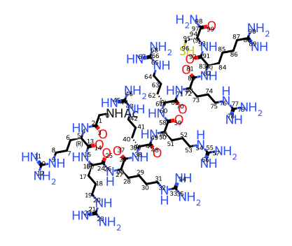 CC(=O)NCC(=O)N[C@H](CCCNC(=N)N)C(=O)N[C@H](CCCNC(=N)N)C(=O)N[C@H](CCCCNC(=N)N)C(=O)N[C@H](CCCNC(=N)N)C(=O)N[C@H](CCCNC(=N)N)C(=O)N[C@H](CCCNC(=N)N)C(=O)N[C@H](CCCNC(=N)N)C(=O)N[C@H](CCCCC(=N)N)C(=O)N[C@H](CS)C(N)=O